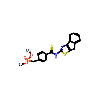 CCOP(=O)(Cc1ccc(C(=S)Nc2nc3c(s2)Cc2ccccc2-3)cc1)OCC